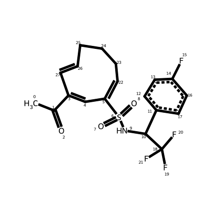 CC(=O)C1=C/C(S(=O)(=O)NC(c2ccc(F)cc2)C(F)(F)F)=C\CCC\C=C\1